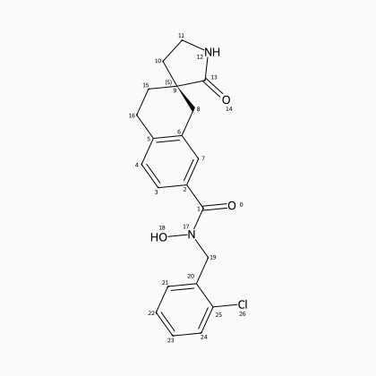 O=C(c1ccc2c(c1)C[C@]1(CCNC1=O)CC2)N(O)Cc1ccccc1Cl